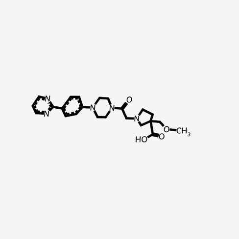 COCC1(C(=O)O)CCN(CC(=O)N2CCN(c3ccc(-c4ncccn4)cc3)CC2)C1